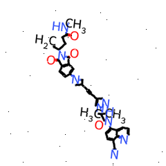 C=CC(CCC(=O)NC)N1C(=O)c2ccc(N3CC(C#Cc4cnn(C(C)(C)C(=O)Nc5ccc(C#N)c6ncccc56)c4)C3)cc2C1=O